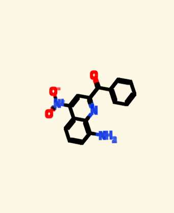 Nc1cccc2c([N+](=O)[O-])cc(C(=O)c3ccccc3)nc12